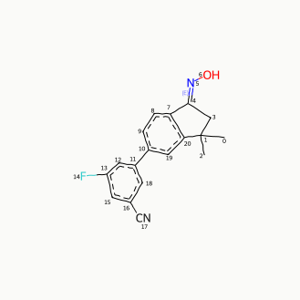 CC1(C)C/C(=N\O)c2ccc(-c3cc(F)cc(C#N)c3)cc21